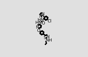 CCCNc1ncc(-c2ccc(Oc3ccc(NC(=O)Nc4cc(Cl)ccc4-n4nccn4)cn3)cc2)s1